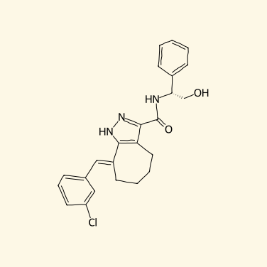 O=C(N[C@@H](CO)c1ccccc1)c1n[nH]c2c1CCCC/C2=C\c1cccc(Cl)c1